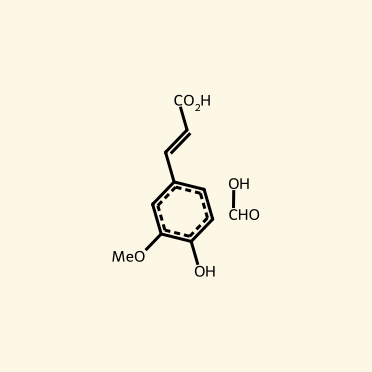 COc1cc(C=CC(=O)O)ccc1O.O=CO